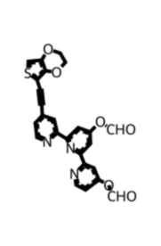 O=COc1ccnc(-c2cc(OC=O)cc(-c3cc(C#Cc4scc5c4OCCO5)ccn3)n2)c1